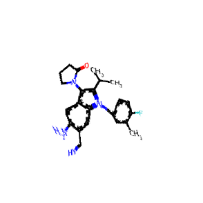 Cc1cc(-n2c(C(C)C)c(N3CCCC3=O)c3cc(N)c(C=N)cc32)ccc1F